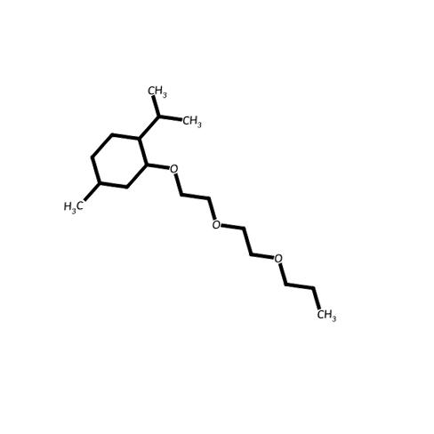 CCCOCCOCCOC1CC(C)CCC1C(C)C